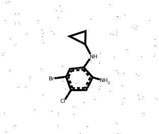 Nc1cc(Cl)c(Br)cc1NC1CC1